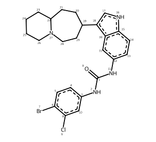 O=C(Nc1ccc(Br)c(Cl)c1)Nc1ccc2[nH]cc(C3CCC4CCCCN4CC3)c2c1